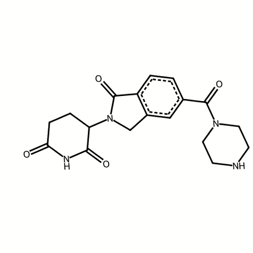 O=C1CCC(N2Cc3cc(C(=O)N4CCNCC4)ccc3C2=O)C(=O)N1